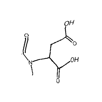 CN([C]=O)C(CC(=O)O)C(=O)O